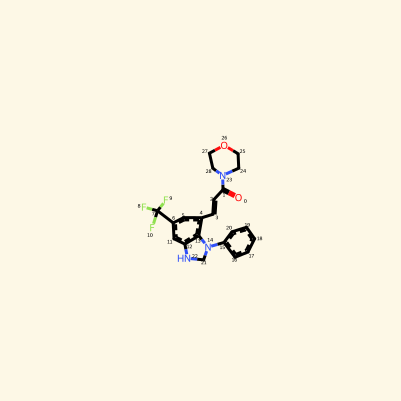 O=C(C=Cc1cc(C(F)(F)F)cc2c1N(c1ccccc1)CN2)N1CCOCC1